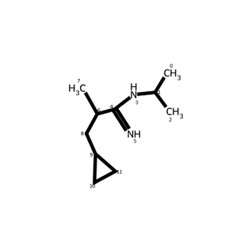 CC(C)NC(=N)C(C)CC1CC1